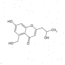 CC(O)Cc1cc(=O)c2c(CO)cc(O)cc2o1